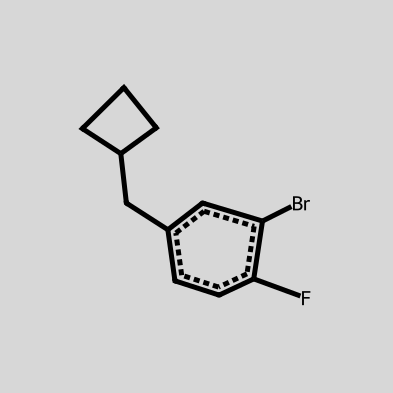 Fc1ccc(CC2CCC2)cc1Br